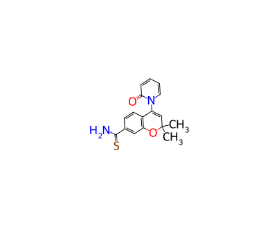 CC1(C)C=C(n2ccccc2=O)c2ccc(C(N)=S)cc2O1